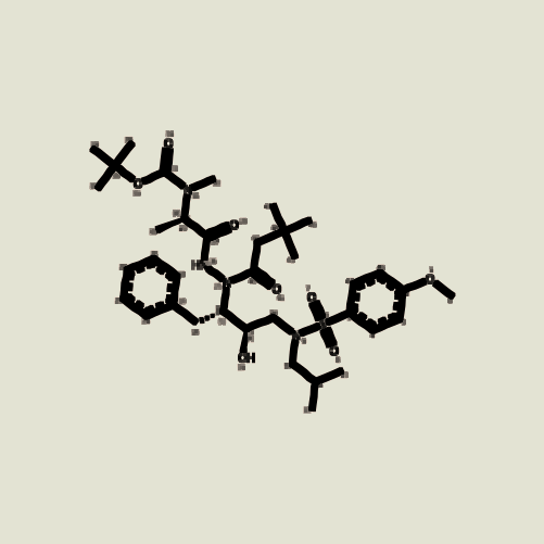 COc1ccc(S(=O)(=O)N(CC(C)C)C[C@@H](O)[C@H](Cc2ccccc2)N(NC(=O)[C@@H](C)N(C)C(=O)OC(C)(C)C)C(=O)CC(C)(C)C)cc1